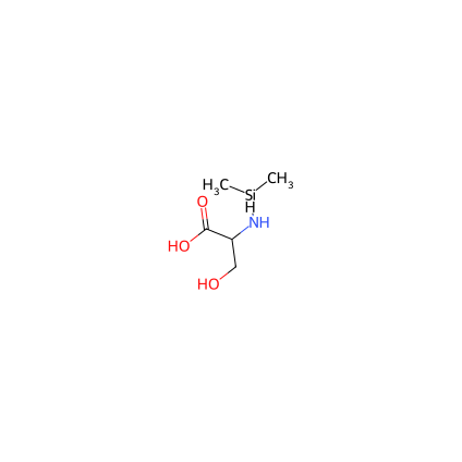 C[SiH](C)NC(CO)C(=O)O